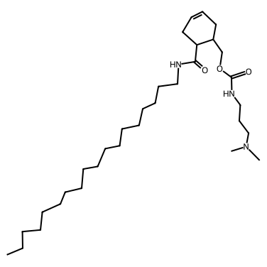 CCCCCCCCCCCCCCCCCCNC(=O)C1CC=CCC1COC(=O)NCCCN(C)C